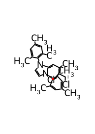 CC(C=C1N(c2c(C)cc(C)cc2C)C=CN1c1c(C)cc(C)cc1C)=C(Cl)[C]Cl